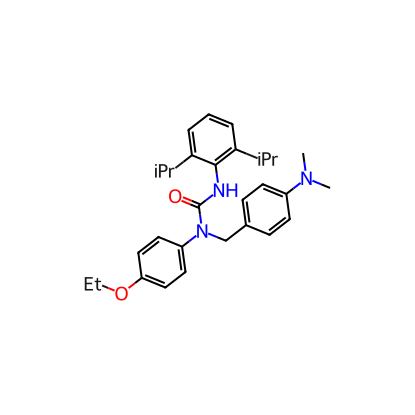 CCOc1ccc(N(Cc2ccc(N(C)C)cc2)C(=O)Nc2c(C(C)C)cccc2C(C)C)cc1